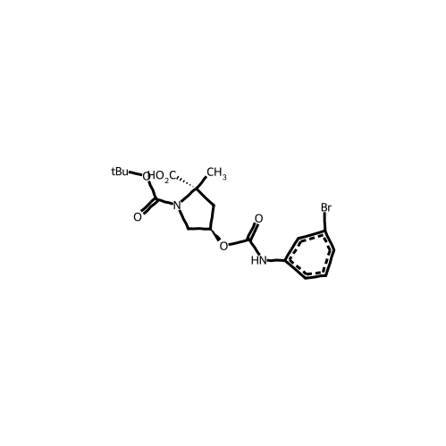 CC(C)(C)OC(=O)N1C[C@H](OC(=O)Nc2cccc(Br)c2)C[C@@]1(C)C(=O)O